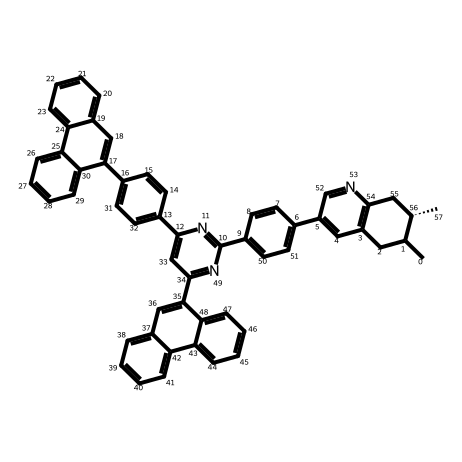 CC1Cc2cc(-c3ccc(-c4nc(-c5ccc(-c6cc7ccccc7c7ccccc67)cc5)cc(-c5cc6ccccc6c6ccccc56)n4)cc3)cnc2C[C@@H]1C